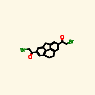 O=C(CBr)c1cc2c3c(c1)Cc1cc(C(=O)CBr)cc(c1-3)CC2